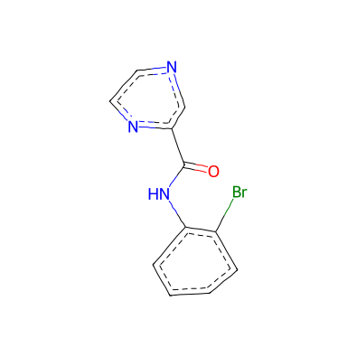 O=C(Nc1ccccc1Br)c1cnccn1